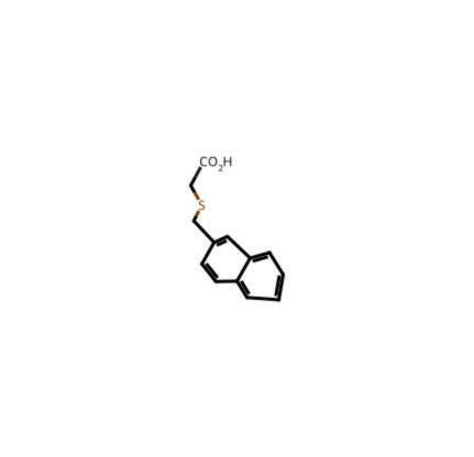 O=C(O)CSCc1ccc2ccccc2c1